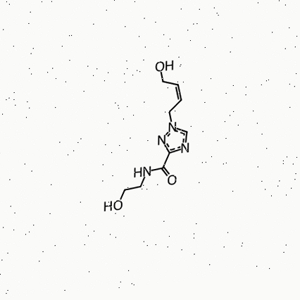 O=C(NCCO)c1ncn(C/C=C\CO)n1